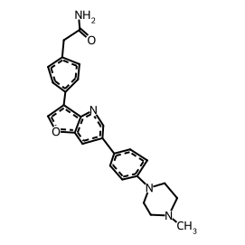 CN1CCN(c2ccc(-c3cnc4c(-c5ccc(CC(N)=O)cc5)coc4c3)cc2)CC1